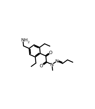 CCC=NN(C)C(=O)C(=O)c1c(CC)cc(CN)cc1CC